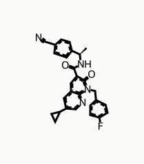 C[C@@H](NC(=O)c1cc2cc(C3CC3)cnc2n(Cc2ccc(F)cc2)c1=O)c1ccc(C#N)cc1